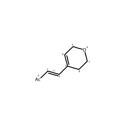 CC(=O)/C=C/C1=CCOCC1